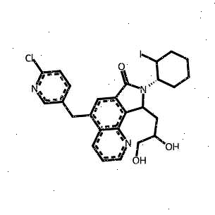 O=C1c2cc(Cc3ccc(Cl)nc3)c3cccnc3c2C(CC(O)CO)N1[C@H]1CCCCC1I